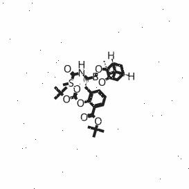 CSC(=O)N[C@@H](Cc1cccc(C(=O)OC(C)(C)C)c1OC(=O)OC(C)(C)C)B1OC2C[C@@H]3C[C@@H](C3(C)C)[C@]2(C)O1